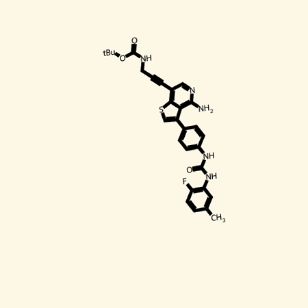 Cc1ccc(F)c(NC(=O)Nc2ccc(-c3csc4c(C#CCNC(=O)OC(C)(C)C)cnc(N)c34)cc2)c1